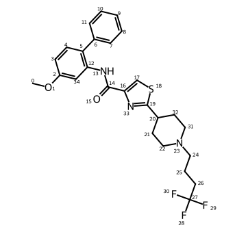 COc1ccc(-c2ccccc2)c(NC(=O)c2csc(C3CCN(CCCC(F)(F)F)CC3)n2)c1